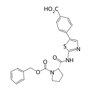 O=C(O)c1ccc(-c2cnc(NC(=O)[C@@H]3CCCN3C(=O)OCc3ccccc3)s2)cc1